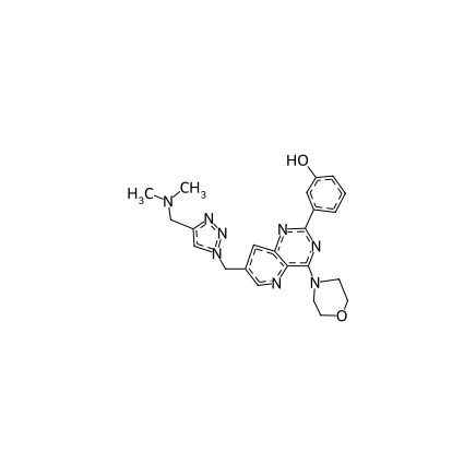 CN(C)Cc1cn(Cc2cnc3c(N4CCOCC4)nc(-c4cccc(O)c4)nc3c2)nn1